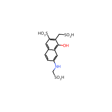 O=S(=O)(O)CNc1ccc2cc(S(=O)(=O)O)c(CS(=O)(=O)O)c(O)c2c1